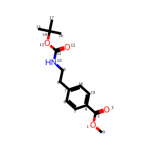 COC(=O)c1ccc(CCNC(=O)OC(C)(C)C)cc1